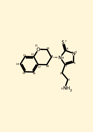 NCCC1=C[N]C(=S)N1[C@H]1COc2ccccc2C1